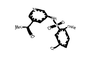 COC(=O)c1cncc(NS(=O)(=O)c2cc(Cl)ccc2OC)c1